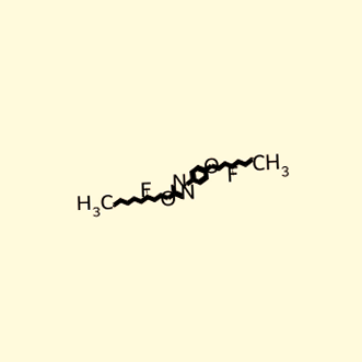 CCCCCC[C@H](F)CCOc1cnc(-c2ccc(OCC[C@@H](F)CCCC)cc2)nc1